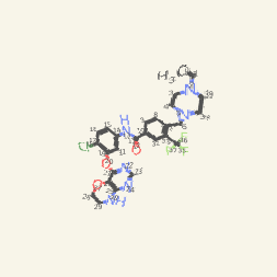 CCN1CCN(Cc2ccc(C(=O)Nc3ccc(Cl)c(Oc4ncnc5c4OCCN5)c3)cc2C(F)(F)F)CC1